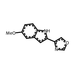 COc1ccc2[nH]c(-c3cocn3)cc2c1